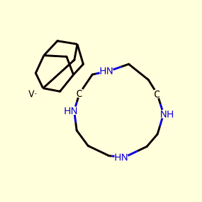 C1C2CC3CC1CC(C2)C3.C1CNCCNCCCNCCNC1.[V]